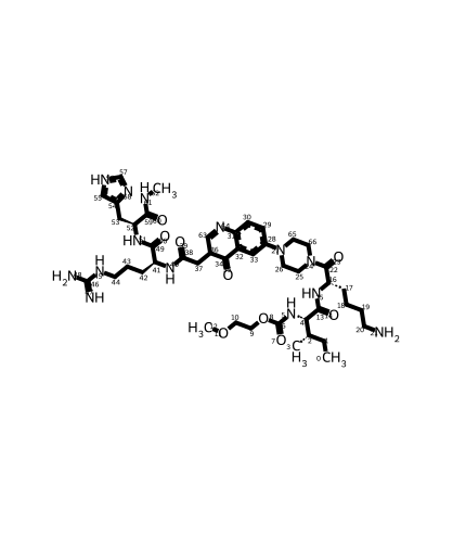 CC[C@H](C)[C@H](NC(=O)OCCOC)C(=O)N[C@@H](CCCCN)C(=O)N1CCN(c2ccc3c(c2)C(=O)C(CC(=O)N[C@@H](CCCNC(=N)N)C(=O)N[C@@H](Cc2c[nH]cn2)C(=O)NC)C=N3)CC1